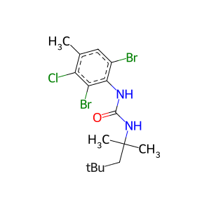 Cc1cc(Br)c(NC(=O)NC(C)(C)CC(C)(C)C)c(Br)c1Cl